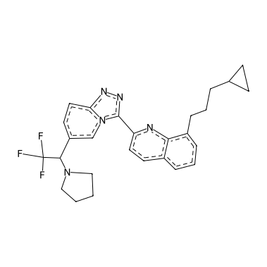 FC(F)(F)C(c1ccc2nnc(-c3ccc4cccc(CCCC5CC5)c4n3)n2c1)N1CCCC1